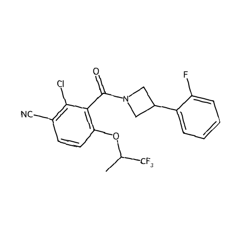 CC(Oc1ccc(C#N)c(Cl)c1C(=O)N1CC(c2ccccc2F)C1)C(F)(F)F